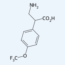 NCC(C(=O)O)c1ccc(OC(F)(F)F)cc1